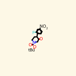 CC(C)(C)OC(=O)N1CCC(c2ccc([N+](=O)[O-])cc2F)C(=O)C1